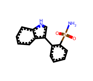 NS(=O)(=O)c1ccccc1-c1c[nH]c2ccccc12